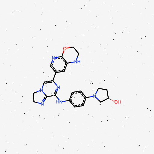 O[C@H]1CCN(c2ccc(NC3=NC(c4cnc5c(c4)NCCO5)=CN4CCN=C34)cc2)C1